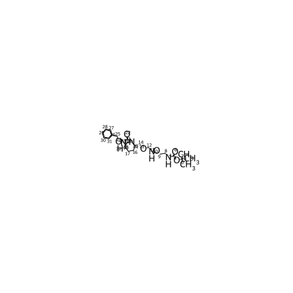 CC(C)(C)OC(=O)NCCONCOC[C@@H]1CC[C@@H]2CN1C(=O)N2OCc1ccccc1